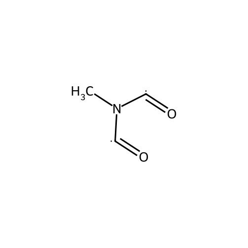 CN([C]=O)[C]=O